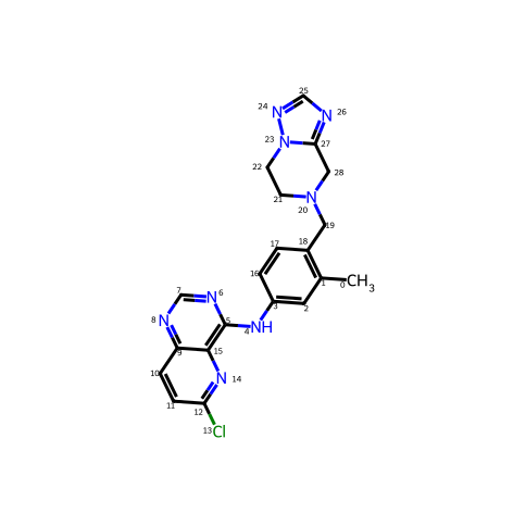 Cc1cc(Nc2ncnc3ccc(Cl)nc23)ccc1CN1CCn2ncnc2C1